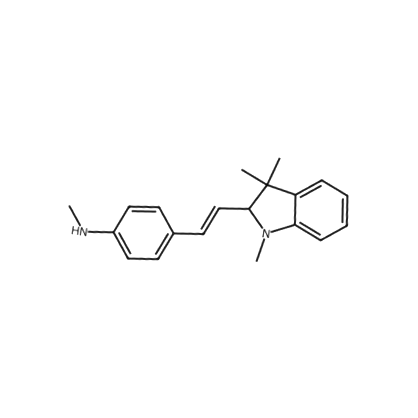 CNc1ccc(/C=C/C2N(C)c3ccccc3C2(C)C)cc1